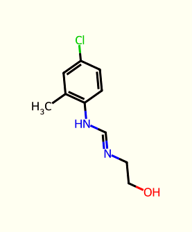 Cc1cc(Cl)ccc1NC=NCCO